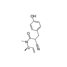 C=C[C@@H](C)N(C)C(=O)C(C#N)Cc1ccc(O)cc1